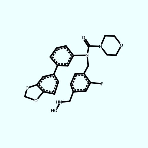 O=C(N1CCOCC1)N(Cc1ccc(CNO)cc1F)c1cccc(-c2ccc3c(c2)OCO3)c1